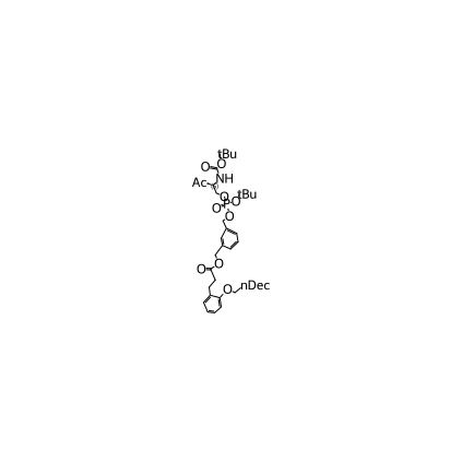 CCCCCCCCCCCOc1ccccc1CCC(=O)OCc1cccc(COP(=O)(OC[C@H](NC(=O)OC(C)(C)C)C(C)=O)OC(C)(C)C)c1